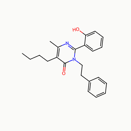 CCCCc1c(C)nc(-c2ccccc2O)n(CCc2ccccc2)c1=O